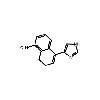 O=[N+]([O-])c1cccc2c1CCC=C2c1c[nH]cn1